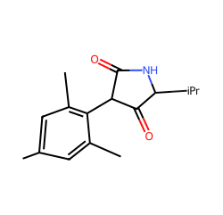 Cc1cc(C)c(C2C(=O)NC(C(C)C)C2=O)c(C)c1